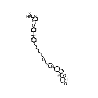 C=CC1=CCC(N2CCN(CCOCCCCCCCCc3ccc(C(C)(C)c4ccc(OCc5ccnc(NSC)n5)cc4)cc3)CC2)=CC=C1C(=C)N(C)C1CCC(=O)NC1=O